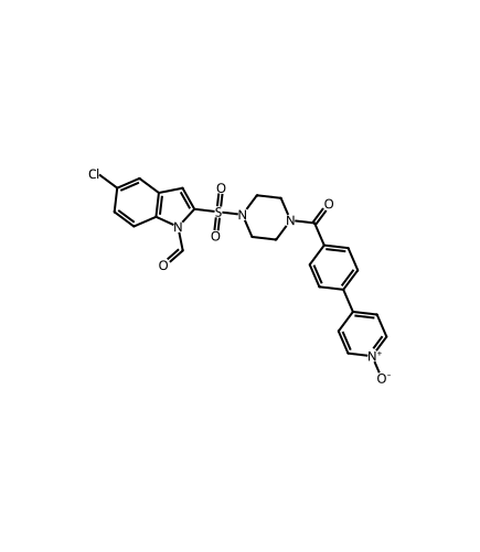 O=Cn1c(S(=O)(=O)N2CCN(C(=O)c3ccc(-c4cc[n+]([O-])cc4)cc3)CC2)cc2cc(Cl)ccc21